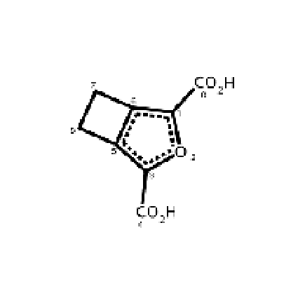 O=C(O)c1oc(C(=O)O)c2c1CC2